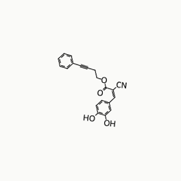 N#C/C(=C/c1ccc(O)c(O)c1)C(=O)OCCC#Cc1ccccc1